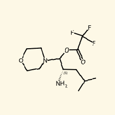 CC(C)C[C@H](N)C(OC(=O)C(F)(F)F)N1CCOCC1